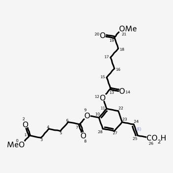 COC(=O)CCCCC(=O)OC1=C(OC(=O)CCCCC(=O)OC)CC(/C=C/C(=O)O)C=C1